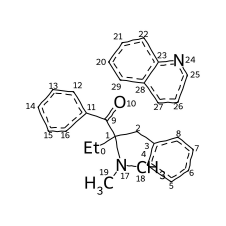 CCC(Cc1ccccc1)(C(=O)c1ccccc1)N(C)C.c1ccc2ncccc2c1